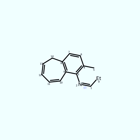 CC/C=N\c1c(C)ccc2c1C=CC=CC2